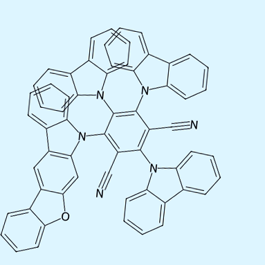 N#Cc1c(-n2c3ccccc3c3ccccc32)c(C#N)c(-n2c3ccccc3c3cc4c(cc32)oc2ccccc24)c(-n2c3ccccc3c3ccccc32)c1-n1c2ccccc2c2ccccc21